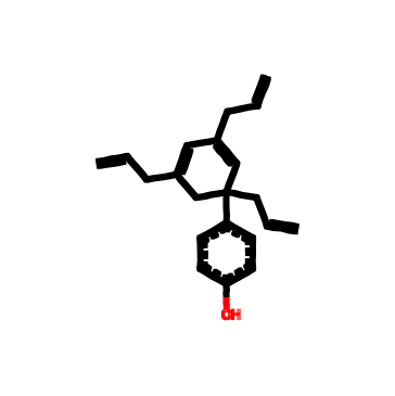 C=CCC1=CC(CC=C)(c2ccc(O)cc2)CC(CC=C)=C1